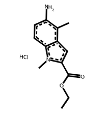 CCOC(=O)c1cc2c(C)c(N)ccc2n1C.Cl